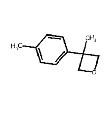 Cc1ccc(C2(C)COC2)cc1